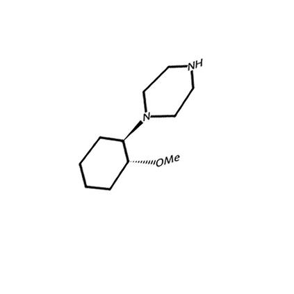 CO[C@@H]1CCCC[C@H]1N1CCNCC1